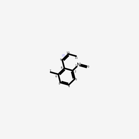 C=Nc1cccc(C)c1/C=C\C